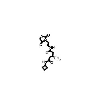 CC(CC(=O)NCCN1C(=O)CSC1=O)CC(=O)NC1CCC1